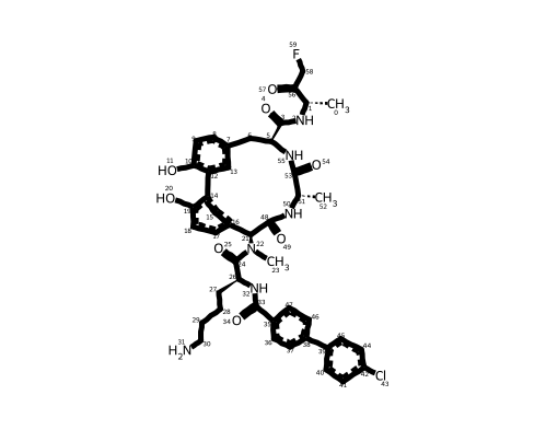 C[C@H](NC(=O)[C@@H]1Cc2ccc(O)c(c2)-c2cc(ccc2O)[C@H](N(C)C(=O)[C@H](CCCCN)NC(=O)c2ccc(-c3ccc(Cl)cc3)cc2)C(=O)N[C@@H](C)C(=O)N1)C(=O)CF